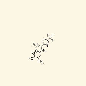 C=C(CC(=O)NC(C)c1ccc(C(F)(F)F)cn1)C(=O)O